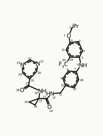 CC(C)Oc1ccc(Nc2ccc(CNC(=O)C3(NC(=O)c4cncnc4)CC3)cc2)c(C(F)(F)F)c1